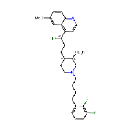 COc1ccc2nccc([C@H](F)CC[C@@H]3CCN(CCCCc4cccc(F)c4F)C[C@@H]3C(=O)O)c2c1